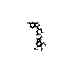 COc1cc2c(c(OC)c1OC)C(CN1CCC(c3noc4cc(F)ccc34)CC1)=C2